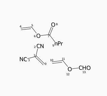 C=C(C#N)C#N.C=COC(=O)CCC.C=COC=O